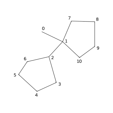 CC1(C2CCCC2)CCCC1